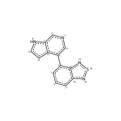 c1cc(-c2cncc3[nH]ccc23)c2nsnc2c1